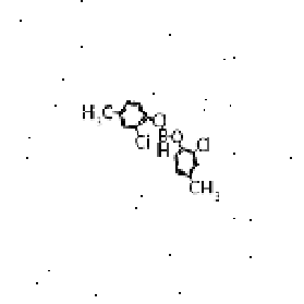 Cc1ccc(OBOc2ccc(C)cc2Cl)c(Cl)c1